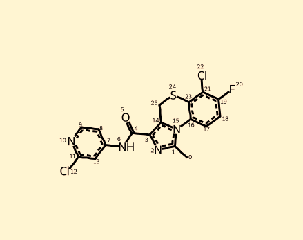 Cc1nc(C(=O)Nc2ccnc(Cl)c2)c2n1-c1ccc(F)c(Cl)c1SC2